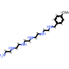 COc1ccc(CNCCNCCNCCNCCNCCN)cc1